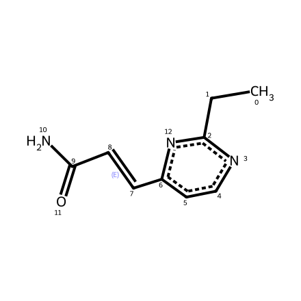 CCc1nccc(/C=C/C(N)=O)n1